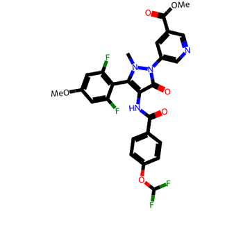 COC(=O)c1cncc(-n2c(=O)c(NC(=O)c3ccc(OC(F)F)cc3)c(-c3c(F)cc(OC)cc3F)n2C)c1